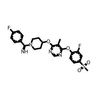 Cc1c(Oc2ccc(S(C)(=O)=O)cc2F)ncnc1OC1CCN(C(=N)c2ccc(F)cc2)CC1